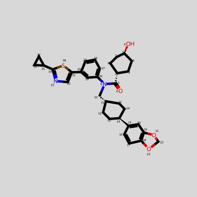 O=C([C@H]1CC[C@H](O)CC1)N(C[C@H]1CC[C@H](c2ccc3c(c2)OCO3)CC1)c1cccc(-c2cnc(C3CC3)s2)c1